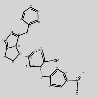 O=C(O)[C@H](Cc1ccc([N+](=O)[O-])cc1)NC(=O)[C@@H]1CCc2nnc(Cc3ccccc3)n21